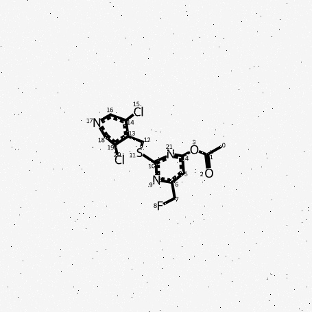 CC(=O)Oc1cc(CF)nc(SCc2c(Cl)cncc2Cl)n1